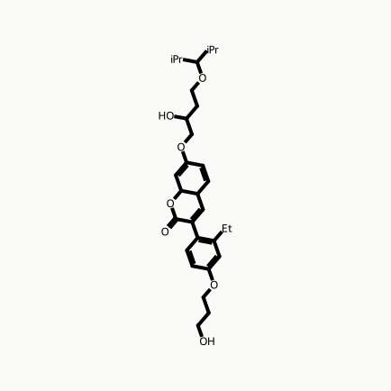 CCc1cc(OCCCO)ccc1C1=CC2C=CC(OCC(O)CCOC(C(C)C)C(C)C)=CC2OC1=O